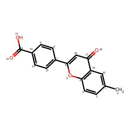 Cc1ccc2oc(-c3ccc(C(=O)O)cc3)cc(=O)c2c1